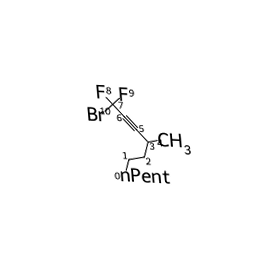 CCCCCCCC(C)C#CC(F)(F)Br